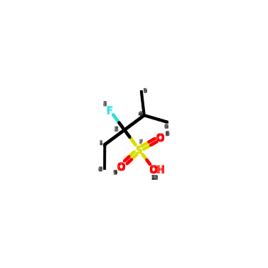 CCC(F)(C(C)C)S(=O)(=O)O